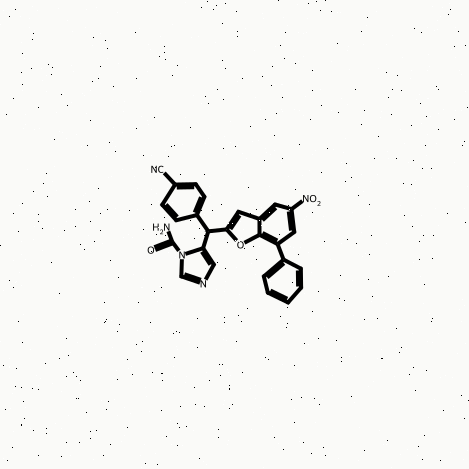 N#Cc1ccc([C](c2cc3cc([N+](=O)[O-])cc(-c4ccccc4)c3o2)c2cncn2C(N)=O)cc1